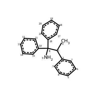 CC(c1ccccc1)C(N)(c1ccccc1)c1ccccc1